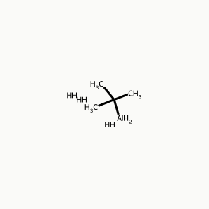 C[C](C)(C)[AlH2].[HH].[HH].[HH]